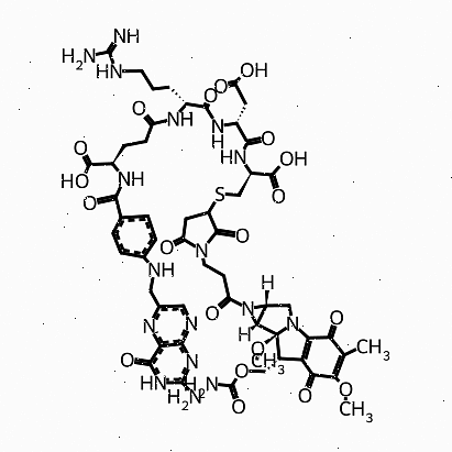 COC1=C(C)C(=O)C2=C(C1=O)[C@H](COC(N)=O)[C@]1(OC)[C@H]3[C@@H](CN21)N3C(=O)CCN1C(=O)CC(SC[C@@H](NC(=O)[C@@H](CC(=O)O)NC(=O)[C@@H](CCCNC(=N)N)NC(=O)CC[C@@H](NC(=O)c2ccc(NCc3cnc4nc(N)[nH]c(=O)c4n3)cc2)C(=O)O)C(=O)O)C1=O